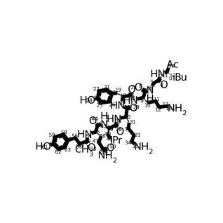 CCC(C)[C@H](NC(=O)CNC(=O)[C@H](CCCCN)NC(=O)[C@@H](Cc1ccc(O)cc1)NC(=O)[C@H](CCCCN)NC(=O)[C@@H](CC(C)C)NC(=O)[C@H](CCC(N)=O)NC(=O)[C@H](C)Cc1ccc(O)cc1)C(C)=O